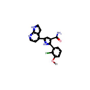 CCOc1cccc(-c2[nH]c(-c3ccnc4[nH]ccc34)cc2C(N)=O)c1F